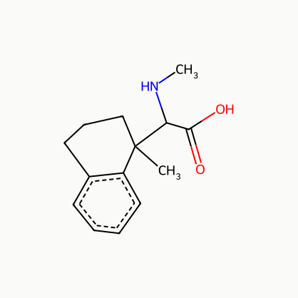 CNC(C(=O)O)C1(C)CCCc2ccccc21